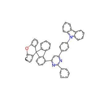 c1ccc(-c2nc(-c3ccc(-n4c5ccccc5c5ccccc54)cc3)cc(-c3cccc4c3-c3ccccc3C43c4ccccc4Oc4ccccc43)n2)cc1